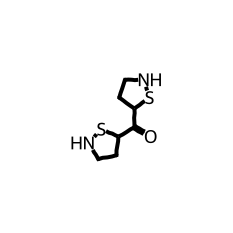 O=C(C1CCNS1)C1CCNS1